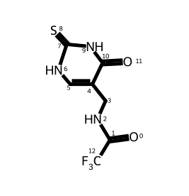 O=C(NCc1c[nH]c(=S)[nH]c1=O)C(F)(F)F